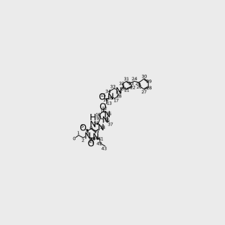 CCCn1c(=O)c2[nH]c(-c3cc(OCC(=O)N4CCN(c5ccc(Cc6ccccc6)cc5)CC4)nn3C)nc2n(CCC)c1=O